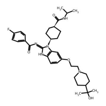 CC(C)NC(=O)[C@H]1CC[C@@H](n2/c(=N/C(=O)c3ccc(F)cc3)[nH]c3ccc(OCCN4CCC(C(C)(C)O)CC4)cc32)CC1